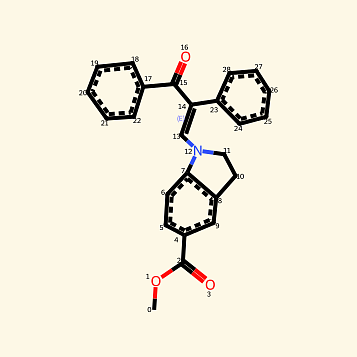 COC(=O)c1ccc2c(c1)CCN2/C=C(/C(=O)c1ccccc1)c1ccccc1